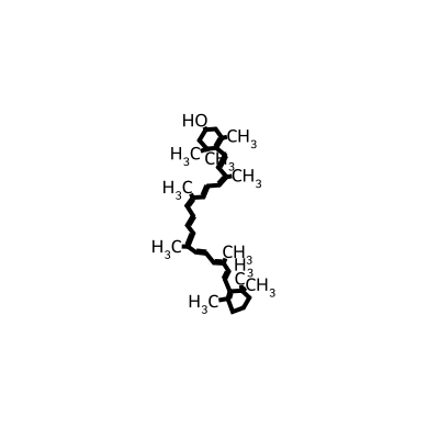 CC(C=CC=C(C)C=CC1=C(C)CCCC1(C)C)=CC=CC=C(C)C=CC=C(C)C=CC1=C(C)CC(O)CC1(C)C